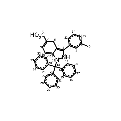 Cc1cc(C2=C3CC(C(=O)O)=CC=C3N(C(c3ccccc3)(c3ccccc3)c3ccccc3)N2)ccn1